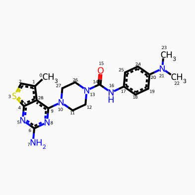 Cc1csc2nc(N)nc(N3CCN(C(=O)Nc4ccc(N(C)C)cc4)CC3)c12